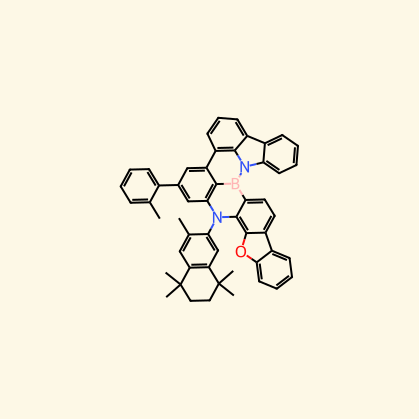 Cc1ccccc1-c1cc2c3c(c1)N(c1cc4c(cc1C)C(C)(C)CCC4(C)C)c1c(ccc4c1oc1ccccc14)B3n1c3ccccc3c3cccc-2c31